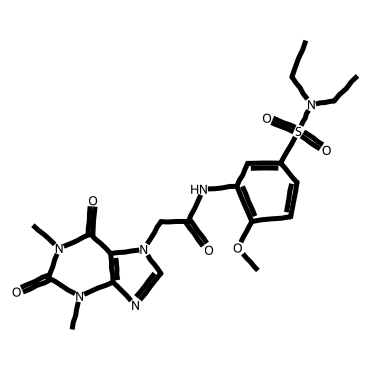 CCN(CC)S(=O)(=O)c1ccc(OC)c(NC(=O)Cn2cnc3c2c(=O)n(C)c(=O)n3C)c1